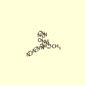 Cc1ccc(-n2nc(N3CCN(c4ccncc4)CC3)cc2NC(=O)c2cnn3cccnc23)nc1